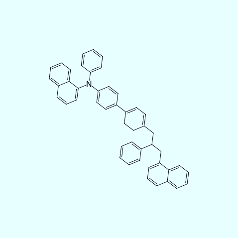 C1=C(CC(Cc2cccc3ccccc23)c2ccccc2)CCC(c2ccc(N(c3ccccc3)c3cccc4ccccc34)cc2)=C1